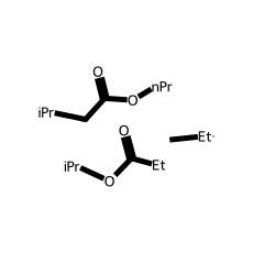 CCC(=O)OC(C)C.CCCOC(=O)CC(C)C.C[CH]C